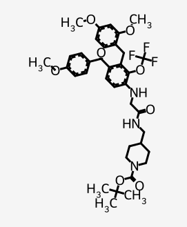 COc1ccc(C(=O)c2ccc(NCC(=O)NCC3CCN(C(=O)OC(C)(C)C)CC3)c(OC(F)(F)F)c2Cc2ccc(OC)cc2OC)cc1